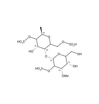 CO[C@@H]1C(OS(=O)(=O)O)[C@H](O[C@H]2C(COS(=O)(=O)O)O[C@H](C)C(OS(=O)(=O)O)[C@H]2O)OC(CO)[C@@H]1O